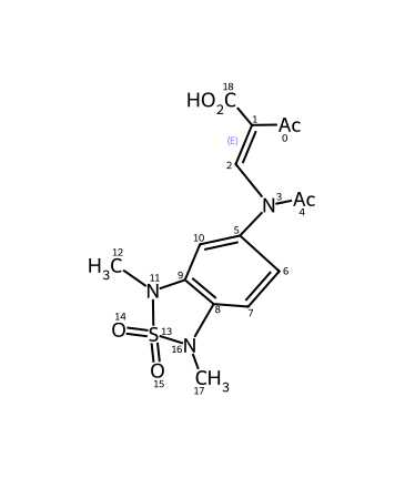 CC(=O)/C(=C\N(C(C)=O)c1ccc2c(c1)N(C)S(=O)(=O)N2C)C(=O)O